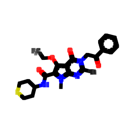 CCc1nc2c(c(OCC(F)(F)F)c(C(=O)NC3CCSCC3)n2C)c(=O)n1CC(=O)c1ccccc1